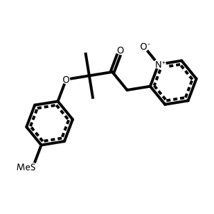 CSc1ccc(OC(C)(C)C(=O)Cc2cccc[n+]2[O-])cc1